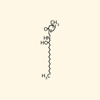 CCCCCCCCCCCCCCC(O)CNCCN1CCN=C(C)CC1=O